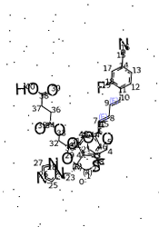 C[C@@H](S[C@H]1CO[C@H](/C=C/C=C/c2ccc(C#N)cc2F)OC1)[C@@](Cn1cncn1)(OC(=O)COC(=O)CCC(=O)O)c1ccc(F)cc1F